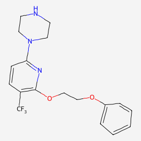 FC(F)(F)c1ccc(N2CCNCC2)nc1OCCOc1ccccc1